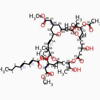 CCC/C=C/C=C/C(=O)OC1/C(=C/C(=O)OC)C[C@H]2C[C@H]([C@@H](C)O)OC(=O)C[C@H](O)C[C@@H]3C[C@H](OC(C)=O)C(C)(C)[C@](O)(C[C@@H]4C/C(=C/C(=O)OC)CC(/C=C/C(C)(C)[C@]1(O)O2)O4)O3